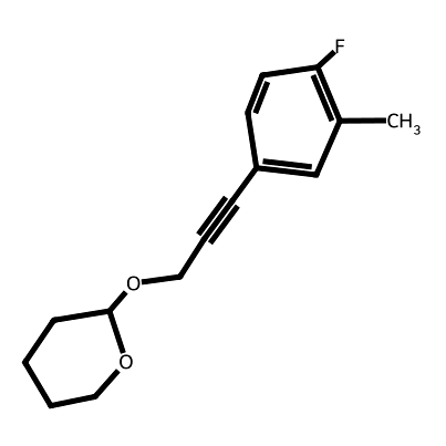 Cc1cc(C#CCOC2CCCCO2)ccc1F